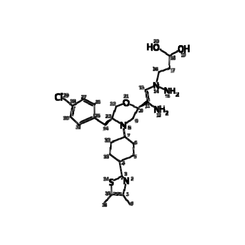 Cc1nc(C2CCC(N3C[C@H](/C(N)=C/N(N)CCC(O)O)OC[C@@H]3Cc3ccc(Cl)cc3)CC2)sc1C